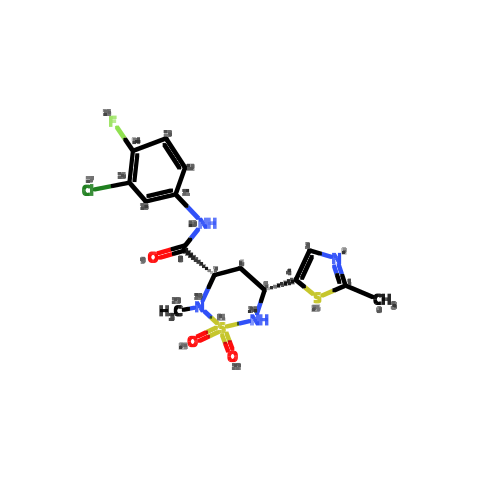 Cc1ncc([C@H]2C[C@@H](C(=O)Nc3ccc(F)c(Cl)c3)N(C)S(=O)(=O)N2)s1